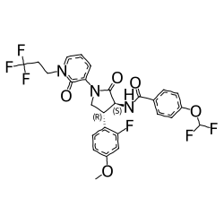 COc1ccc([C@@H]2CN(c3cccn(CCC(F)(F)F)c3=O)C(=O)[C@H]2NC(=O)c2ccc(OC(F)F)cc2)c(F)c1